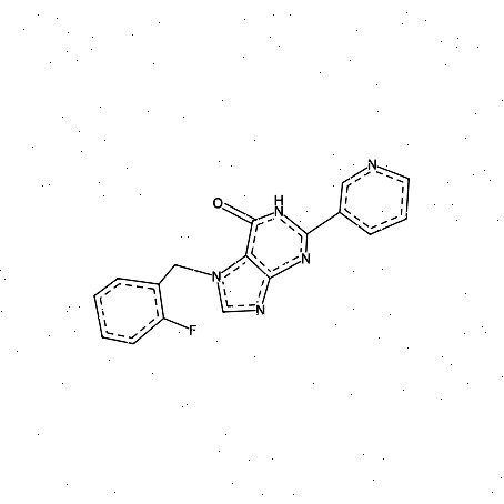 O=c1[nH]c(-c2cccnc2)nc2ncn(Cc3ccccc3F)c12